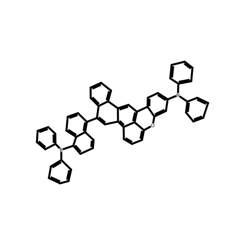 c1ccc(B(c2ccccc2)c2cccc3c(-c4cc5c6cccc7c6c(cc5c5ccccc45)-c4ccc(N(c5ccccc5)c5ccccc5)cc4O7)cccc23)cc1